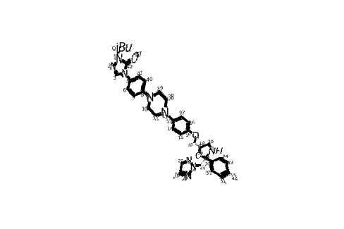 CCC(C)n1ncn(-c2ccc(N3CCN(c4ccc(OC[C@@H]5CN[C@@](Cn6nccn6)(c6ccccc6)O5)cc4)CC3)cc2)c1=O